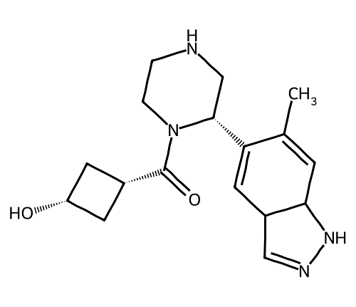 CC1=CC2NN=CC2C=C1[C@H]1CNCCN1C(=O)[C@H]1C[C@@H](O)C1